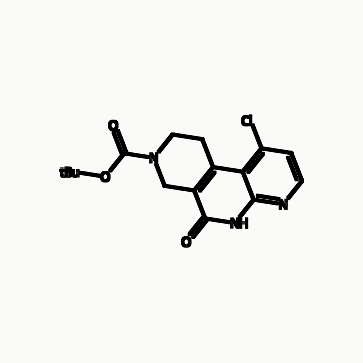 CC(C)(C)OC(=O)N1CCc2c(c(=O)[nH]c3nccc(Cl)c23)C1